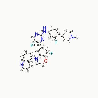 CN1CCC(c2ccc(Nc3ncc(F)c(-c4cc(F)c5c(c4)N(c4cccc6ncccc46)CCO5)n3)cc2F)CC1